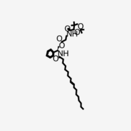 CCCCCCCCC=CCCCCCCCC(=O)N[C@H](COC(=O)CCNC(=O)C1OC(C)(C)OCC1(C)C)c1ccccc1